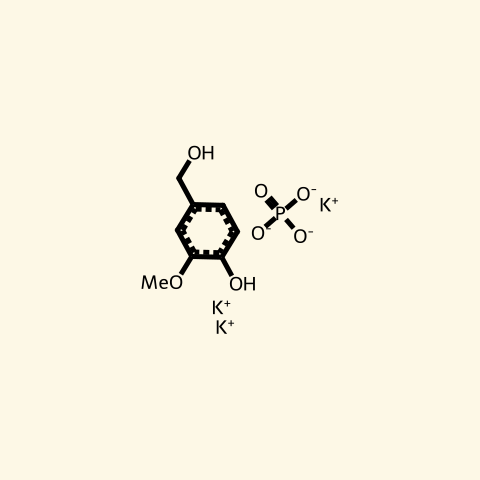 COc1cc(CO)ccc1O.O=P([O-])([O-])[O-].[K+].[K+].[K+]